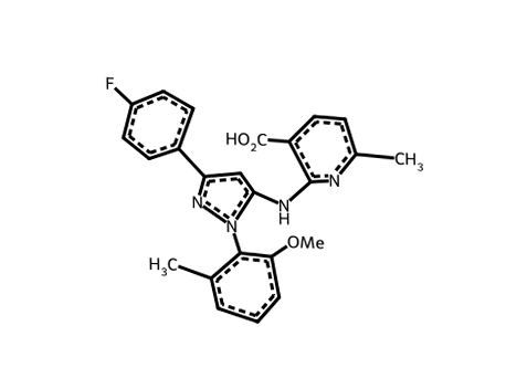 COc1cccc(C)c1-n1nc(-c2ccc(F)cc2)cc1Nc1nc(C)ccc1C(=O)O